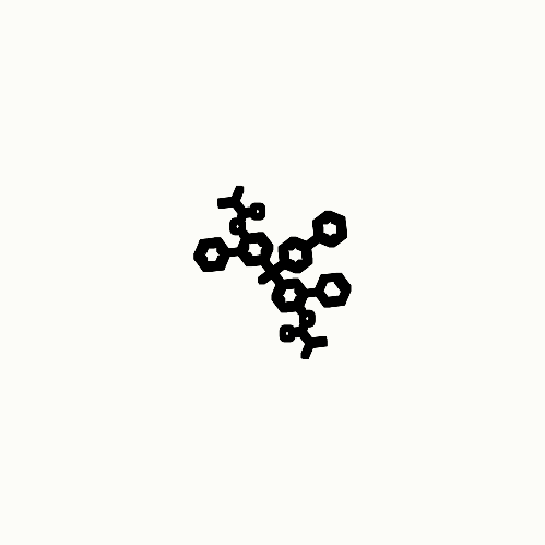 C=C(C)C(=O)Oc1ccc(C(C)(c2ccc(-c3ccccc3)cc2)c2ccc(OC(=O)C(=C)C)c(C3C=CC=CC3)c2)cc1-c1ccccc1